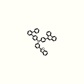 c1ccc(-c2ccccc2-c2ccc(N(c3ccc(-c4cc5ccccc5c5ccccc45)cc3)c3cccc(-c4cc5ccccc5o4)c3)cc2)cc1